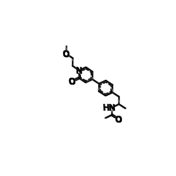 COCCn1ccc(-c2ccc(CC(C)NC(C)=O)cc2)cc1=O